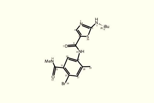 CC[C@@H](C)Nc1ncc(C(=O)Nc2cc(C(=O)NC)c(Br)cc2C)s1